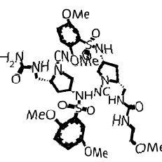 COCCNC(=O)NC[C@H]1C[C@@H](NS(=O)(=O)c2cc(OC)ccc2OC)CN1C#N.COc1ccc(OC)c(S(=O)(=O)N[C@@H]2C[C@H](CNC(N)=O)N(C#N)C2)c1